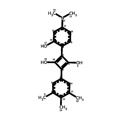 Cc1cc(C2=C(O)C(c3ccc(N(C)C)cc3O)=C2O)cc(C)c1C